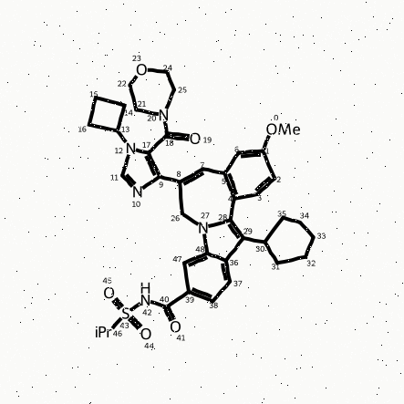 COc1ccc2c(c1)C=C(c1ncn(C3CCC3)c1C(=O)N1CCOCC1)Cn1c-2c(C2CCCCC2)c2ccc(C(=O)NS(=O)(=O)C(C)C)cc21